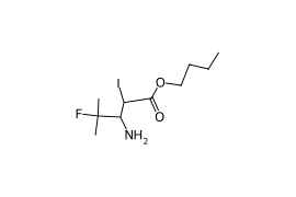 CCCCOC(=O)C(I)C(N)C(C)(C)F